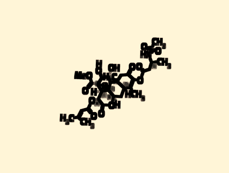 COC(=O)[C@@]12OC[C@]34C([C@@H](O)[C@@H]1O)[C@@]1(C)CC(=O)C(OC(=O)C[C@H](C)NS(C)(=O)=O)=C(C)[C@@H]1C[C@H]3OC(=O)[C@H](OC(=O)C=C(C)C)[C@@H]24